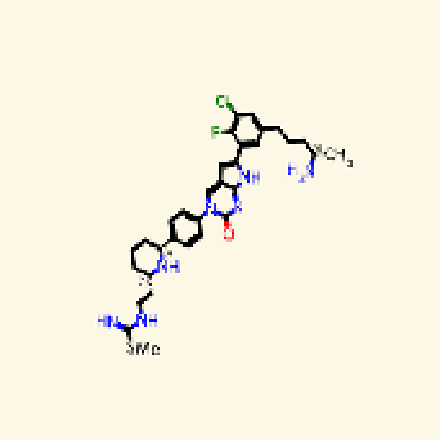 CSC(=N)NCC[C@@H]1CCC[C@@H](c2ccc(-n3cc4cc(-c5cc(CCC[C@H](C)N)cc(Cl)c5F)[nH]c4nc3=O)cc2)N1